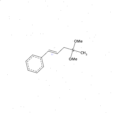 CO[Si](C)(C/C=C/c1ccccc1)OC